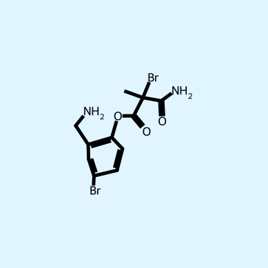 CC(Br)(C(N)=O)C(=O)Oc1ccc(Br)cc1CN